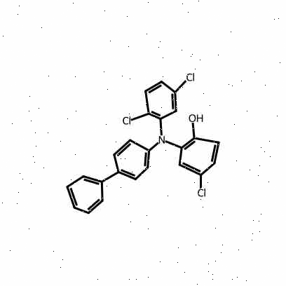 Oc1ccc(Cl)cc1N(c1ccc(-c2ccccc2)cc1)c1cc(Cl)ccc1Cl